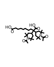 CC(=O)N1C(C)(C)CC(C(CCCCCCCC(=O)O)(C(=O)O)C2CC(C)(C)N(C(C)=O)C(C)(C)C2)CC1(C)C